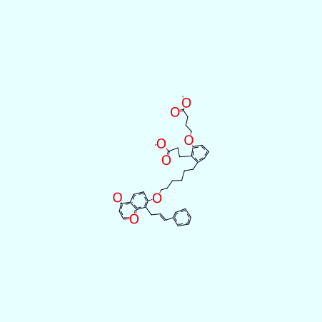 COC(=O)CCCOc1cccc(CCCCCCOc2ccc3c(=O)ccoc3c2CC=Cc2ccccc2)c1CCC(=O)OC